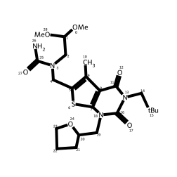 COC(CN(Cc1sc2c(c1C)c(=O)n(CC(C)(C)C)c(=O)n2CC1CCCO1)C(N)=O)OC